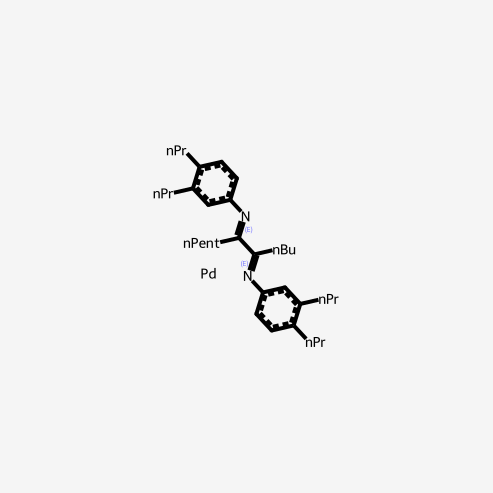 CCCCCC(=N\c1ccc(CCC)c(CCC)c1)/C(CCCC)=N/c1ccc(CCC)c(CCC)c1.[Pd]